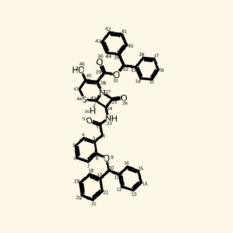 O=C(Cc1ccccc1OC(c1ccccc1)c1ccccc1)NC1C(=O)N2C(C(=O)OC(c3ccccc3)c3ccccc3)=C(O)CS[C@H]12